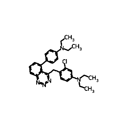 CCN(CC)c1ccc(-c2cccc3nnnc(Cc4ccc(N(CC)CC)cc4Cl)c23)cc1